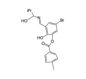 Cc1ccc(C(=O)Oc2cc(Br)cc(/C=N/C(O)C(C)C)c2O)cc1